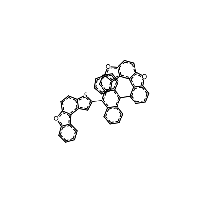 c1ccc2c(c1)oc1ccc3sc(-c4c5ccccc5c(-c5cccc6oc7ccc8oc9ccccc9c8c7c56)c5ccccc45)cc3c12